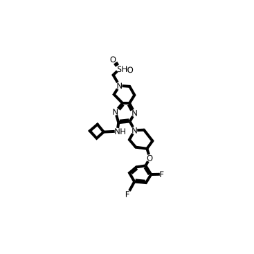 O=[SH](=O)CN1CCc2nc(N3CCC(Oc4ccc(F)cc4F)CC3)c(NC3CCC3)nc2C1